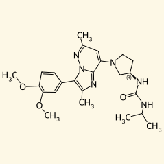 COc1ccc(-c2c(C)nc3c(N4CC[C@@H](NC(=O)NC(C)C)C4)cc(C)nn23)cc1OC